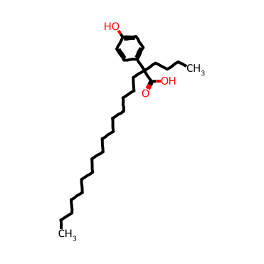 CCCCCCCCCCCCCCCCC(CCCC)(C(=O)O)c1ccc(O)cc1